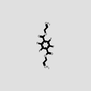 C=CCOC(=O)c1c(F)c(F)c(C(=O)OCC=C)c(F)c1F